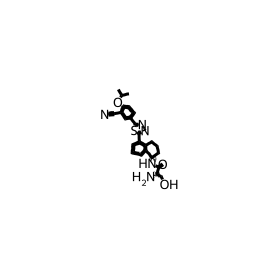 CC(C)Oc1ccc(-c2nnc(-c3cccc4c3CCC[C@H]4NC(=O)[C@@H](N)CO)s2)cc1C#N